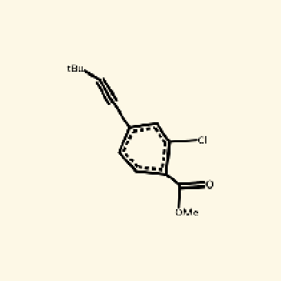 COC(=O)c1ccc(C#CC(C)(C)C)cc1Cl